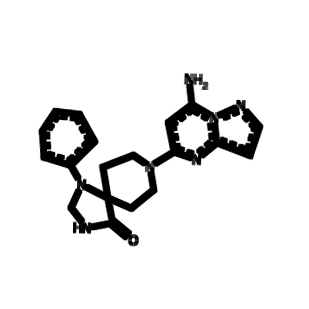 Nc1cc(N2CCC3(CC2)C(=O)NCN3c2ccccc2)nc2ccnn12